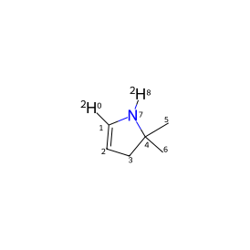 [2H]C1=CCC(C)(C)N1[2H]